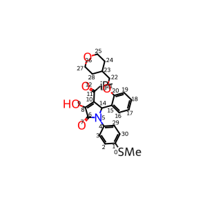 CSc1ccc(N2C(=O)C(O)=C(C(=O)C(C)C)C2c2ccccc2OCC2CCOCC2)cc1